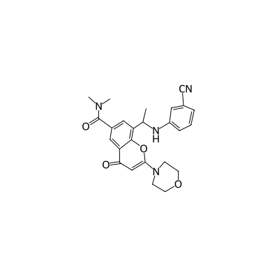 CC(Nc1cccc(C#N)c1)c1cc(C(=O)N(C)C)cc2c(=O)cc(N3CCOCC3)oc12